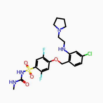 CNC(=O)NS(=O)(=O)c1cc(F)c(OCc2ccc(Cl)cc2NCCN2CCCC2)cc1F